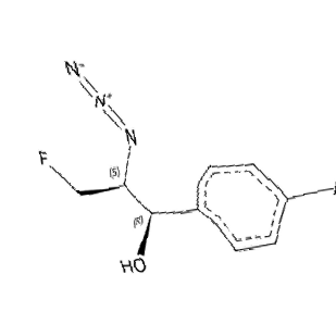 [N-]=[N+]=N[C@H](CF)[C@H](O)c1ccc(I)cc1